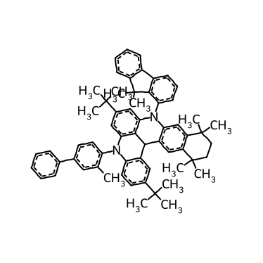 Cc1cc(-c2ccccc2)ccc1N1c2ccc(C(C)(C)C)cc2C2c3cc4c(cc3N(c3cccc5c3C(C)(C)c3ccccc3-5)c3cc(C(C)(C)C)cc1c32)C(C)(C)CCC4(C)C